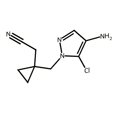 N#CCC1(Cn2ncc(N)c2Cl)CC1